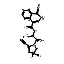 N#CC1CC(F)(F)CN1C(=O)C(N)CC(=O)c1c[nH]c(=O)c2ccccc12